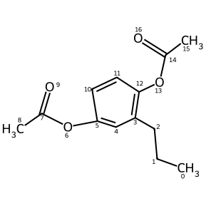 CCCc1cc(OC(C)=O)ccc1OC(C)=O